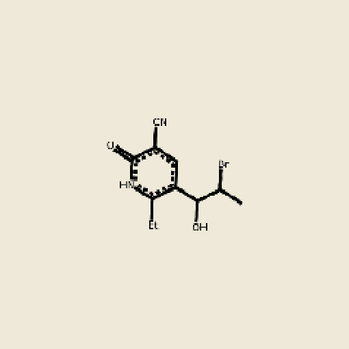 CCc1[nH]c(=O)c(C#N)cc1C(O)C(C)Br